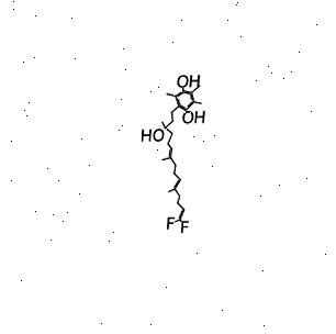 C/C(=C\CC/C(C)=C/CCC(C)(O)CCc1c(C)c(O)c(C)c(C)c1O)CCC=C(F)F